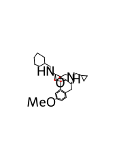 COc1ccc2c(c1)[C@]13CCN(CC4CC4)[C@H](C2)[C@]12CCC(NCC1CCCCC1)(CO2)C3